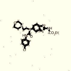 CCOC(=O)Nc1nc2ccc(N(CCN3CCOCC3)C(=O)Nc3ccc(Cl)cc3)cc2s1